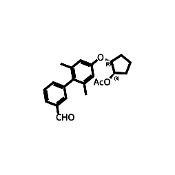 CC(=O)O[C@@H]1CCC[C@H]1Oc1cc(C)c(-c2cccc(C=O)c2)c(C)c1